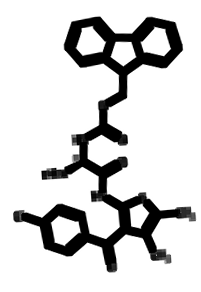 CCCCCC[C@@H](NC(=O)OCC1c2ccccc2-c2ccccc21)C(=O)Nc1sc(C)c(C)c1C(=O)c1ccc(Cl)cc1